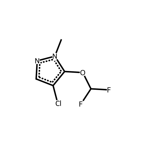 Cn1ncc(Cl)c1OC(F)F